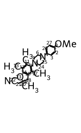 COc1ccc(N2CCN(c3c(C)c(C)c4c(c3C)CC(C)(CC#N)O4)CC2)cc1